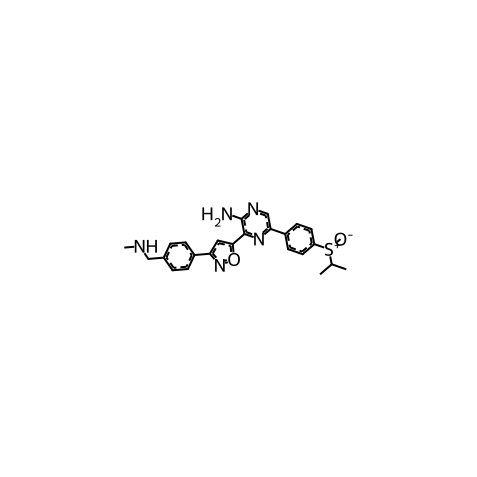 CNCc1ccc(-c2cc(-c3nc(-c4ccc([S+]([O-])C(C)C)cc4)cnc3N)on2)cc1